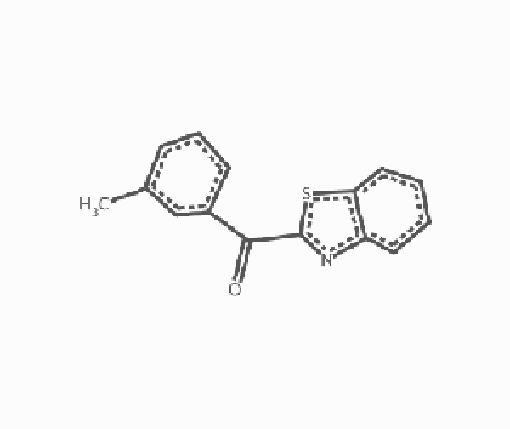 Cc1cccc(C(=O)c2nc3ccccc3s2)c1